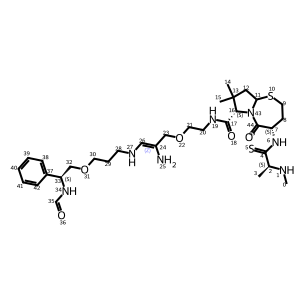 CN[C@@H](C)C(=S)N[C@H]1CCSC2CC(C)(C)[C@@H](C(=O)NCCOC/C(N)=C/NCCCOC[C@@H](NC=O)c3ccccc3)N2C1=O